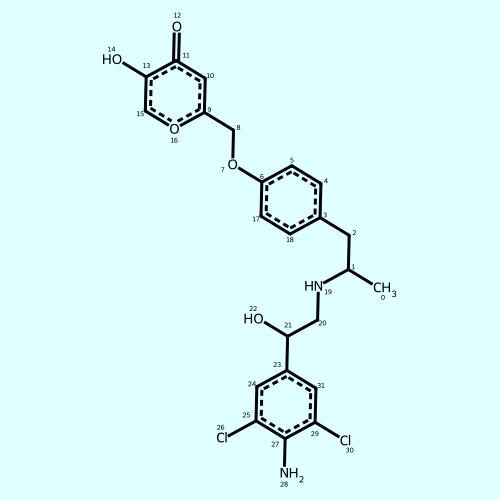 CC(Cc1ccc(OCc2cc(=O)c(O)co2)cc1)NCC(O)c1cc(Cl)c(N)c(Cl)c1